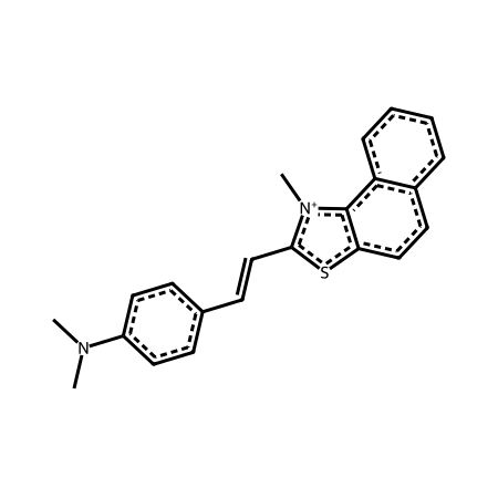 CN(C)c1ccc(/C=C/c2sc3ccc4ccccc4c3[n+]2C)cc1